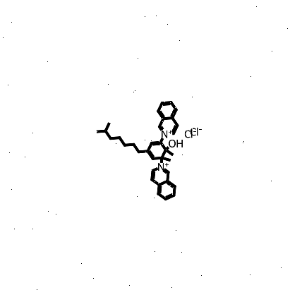 CC(C)CCCCCC1=CC(C)([n+]2ccc3ccccc3c2)C(C)(O)C([n+]2ccc3ccccc3c2)=C1.[Cl-].[Cl-]